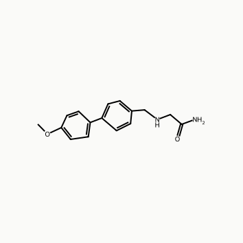 COc1ccc(-c2ccc(CNCC(N)=O)cc2)cc1